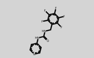 O=C(NCc1c(F)c(F)c(F)c(F)c1F)Nc1ccncc1